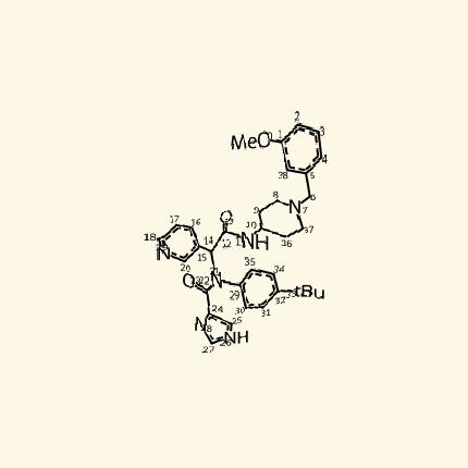 COc1cccc(CN2CCC(NC(=O)C(c3cccnc3)N(C(=O)c3c[nH]cn3)c3ccc(C(C)(C)C)cc3)CC2)c1